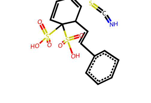 N=C=S.O=S(=O)(O)C1(S(=O)(=O)O)C=CC=CC1C=Cc1ccccc1